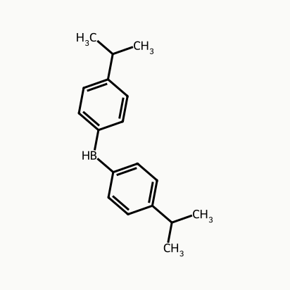 CC(C)c1ccc(Bc2ccc(C(C)C)cc2)cc1